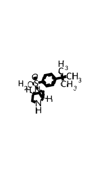 C=S(=O)(c1ccc(C(C)(C)C)cc1)N1C[C@@H]2C[C@H]1CN2